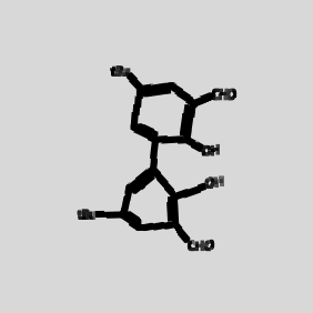 CC(C)(C)c1cc(C=O)c(O)c(-c2cc(C(C)(C)C)cc(C=O)c2O)c1